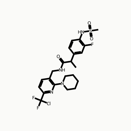 CC(C(=O)NCc1ccc(C(F)(F)Cl)nc1N1CCCCC1)c1ccc(NS(C)(=O)=O)c(F)c1